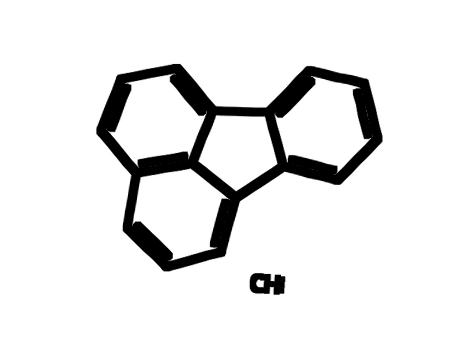 [CH].c1ccc2c(c1)-c1cccc3cccc-2c13